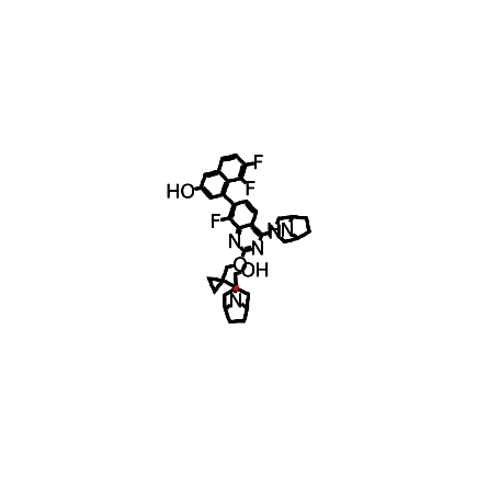 OCC1CC2CCC(C1)N2CC1(COc2nc(N3CC4CCC(C3)N4)c3ccc(-c4cc(O)cc5ccc(F)c(F)c45)c(F)c3n2)CC1